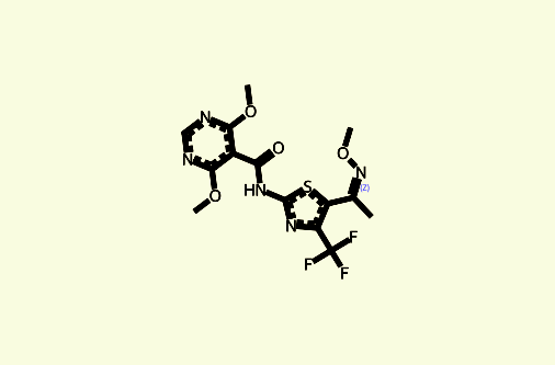 CO/N=C(/C)c1sc(NC(=O)c2c(OC)ncnc2OC)nc1C(F)(F)F